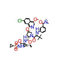 C=C[C@@H]1C[C@]1(NC(=O)[C@@H]1C[C@@H](Oc2ncc(OC)c3ccc(Cl)cc23)CN1C(=O)[C@H](Nc1cccc(C(=O)N(C)C)c1)C(C)(C)C)C(=O)NS(=O)(=O)C1CC1